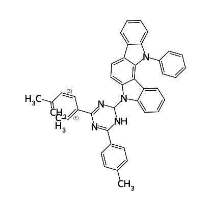 C=C(C)/C=C\C(=C/C)C1=NC(n2c3ccccc3c3c4c(ccc32)c2ccccc2n4-c2ccccc2)NC(c2ccc(C)cc2)=N1